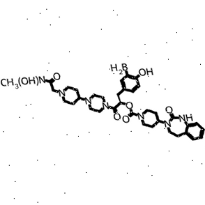 Bc1cc(C[C@@H](OC(=O)N2CCC(N3CCc4ccccc4NC3=O)CC2)C(=O)N2CCN(C3CCN(CC(=O)N(C)O)CC3)CC2)ccc1O